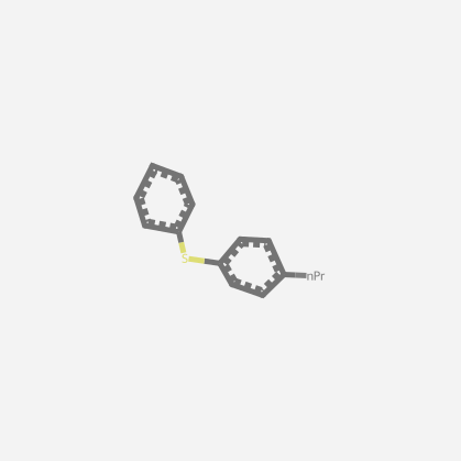 CCCc1ccc(Sc2ccccc2)cc1